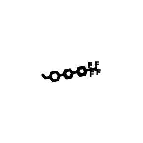 CCC1CCC(c2ccc(-c3ccc(C(F)(F)C(F)F)cc3)cc2)CC1